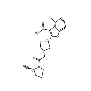 N#C[C@@H]1CCCN1C(=O)CN1CC[C@H](c2oc3cccc(O)c3c2C(N)=O)C1